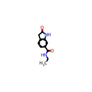 CCNC(=O)c1ccc2c(c1)NC(=O)C2